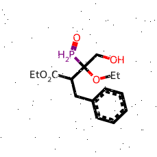 CCOC(=O)C(Cc1ccccc1)C(CO)(OCC)[PH2]=O